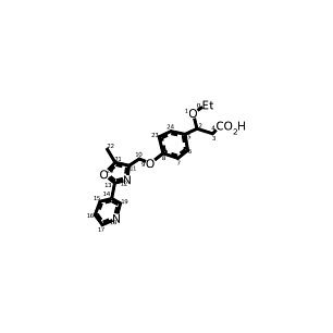 CCOC(CC(=O)O)c1ccc(OCc2nc(-c3cccnc3)oc2C)cc1